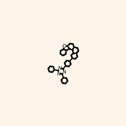 c1ccc(-c2nc(-c3ccccc3)nc(-c3ccc(-c4ccc5ccc6ccc7oc8ccccc8c7c6c5c4)cc3)n2)cc1